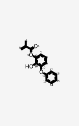 C=C(C)C(=O)Oc1cccc(Oc2ccccc2)c1O